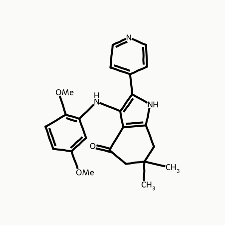 COc1ccc(OC)c(Nc2c(-c3ccncc3)[nH]c3c2C(=O)CC(C)(C)C3)c1